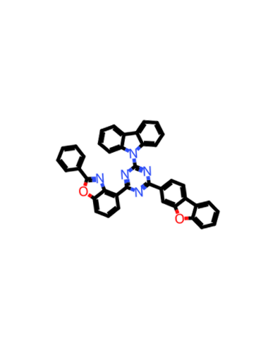 c1ccc(-c2nc3c(-c4nc(-c5ccc6c(c5)oc5ccccc56)nc(-n5c6ccccc6c6ccccc65)n4)cccc3o2)cc1